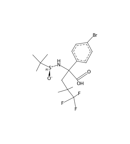 CC(C)(C)[S@+]([O-])NC(CC(C)(C)C(F)(F)F)(C(=O)O)c1ccc(Br)cc1